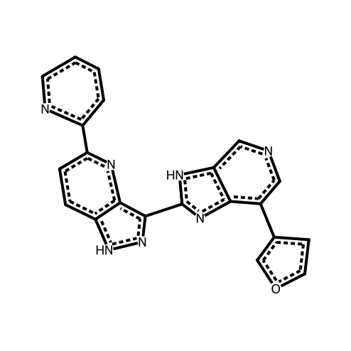 c1ccc(-c2ccc3[nH]nc(-c4nc5c(-c6ccoc6)cncc5[nH]4)c3n2)nc1